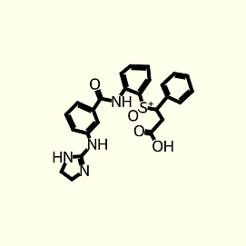 O=C(O)CC(c1ccccc1)[S+]([O-])c1ccccc1NC(=O)c1cccc(NC2=NCCN2)c1